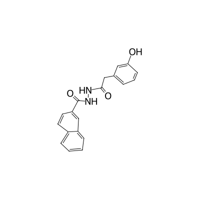 O=C(Cc1cccc(O)c1)NNC(=O)c1ccc2ccccc2c1